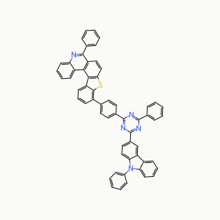 c1ccc(-c2nc(-c3ccc(-c4cccc5c4sc4ccc6c(-c7ccccc7)nc7ccccc7c6c45)cc3)nc(-c3ccc4c(c3)c3ccccc3n4-c3ccccc3)n2)cc1